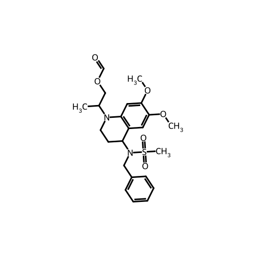 COc1cc2c(cc1OC)N(C(C)COC=O)CCC2N(Cc1ccccc1)S(C)(=O)=O